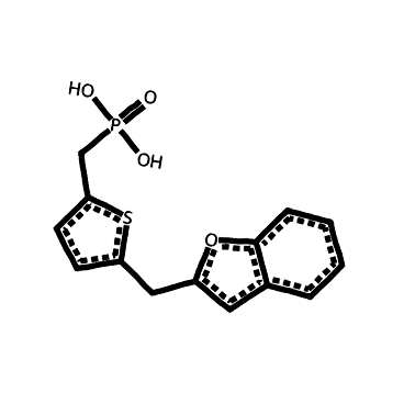 O=P(O)(O)Cc1ccc(Cc2cc3ccccc3o2)s1